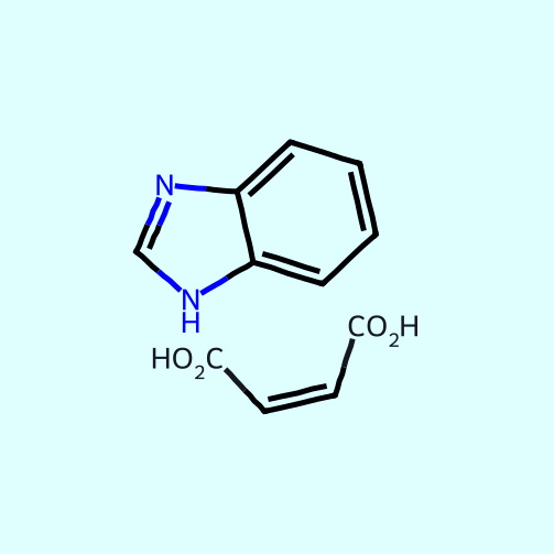 O=C(O)/C=C\C(=O)O.c1ccc2[nH]cnc2c1